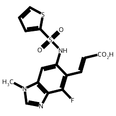 Cn1cnc2c(F)c(/C=C/C(=O)O)c(NS(=O)(=O)c3cccs3)cc21